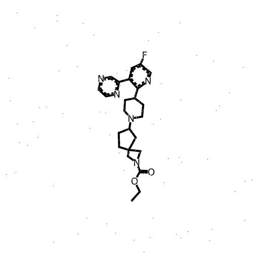 CCOC(=O)N1CC2(CCC(N3CCC(c4ncc(F)cc4-c4cnccn4)CC3)C2)C1